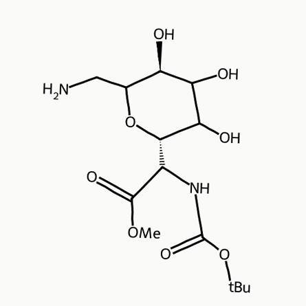 COC(=O)C(NC(=O)OC(C)(C)C)[C@@H]1OC(CN)[C@@H](O)C(O)C1O